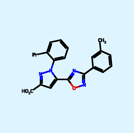 Cc1cccc(-c2noc(-c3cc(C(=O)O)nn3-c3ccccc3C(C)C)n2)c1